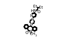 CCC(CC)C(=O)Nc1ccc(N2CCN(C3c4ccccc4C(=O)N(C)c4ccccc43)CC2)nc1